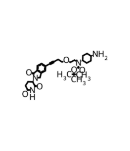 CC(C)(C)OC(=O)N(CCOCCC#Cc1ccc2c(c1)CN(C1CCC(=O)NC1=O)C2=O)[C@H]1CC[C@H](N)CC1